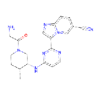 C[C@@H]1CCN(C(=O)CN)C[C@@H]1Nc1ccnc(-c2cnc3ccc(C#N)cn23)n1